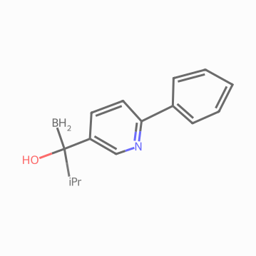 BC(O)(c1ccc(-c2ccccc2)nc1)C(C)C